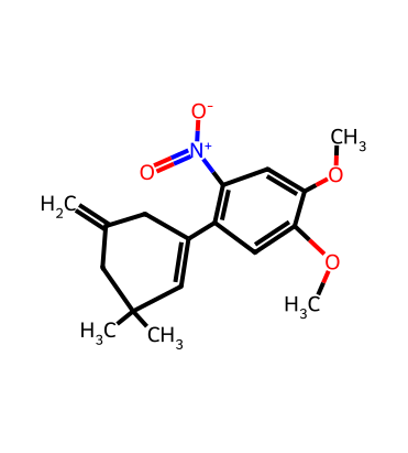 C=C1CC(c2cc(OC)c(OC)cc2[N+](=O)[O-])=CC(C)(C)C1